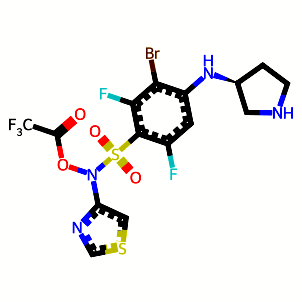 O=C(ON(c1cscn1)S(=O)(=O)c1c(F)cc(N[C@H]2CCNC2)c(Br)c1F)C(F)(F)F